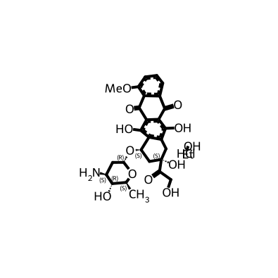 CCO.COc1cccc2c1C(=O)c1c(O)c3c(c(O)c1C2=O)C[C@@](O)(C(=O)CO)C[C@@H]3O[C@H]1C[C@H](N)[C@@H](O)[C@H](C)O1.Cl